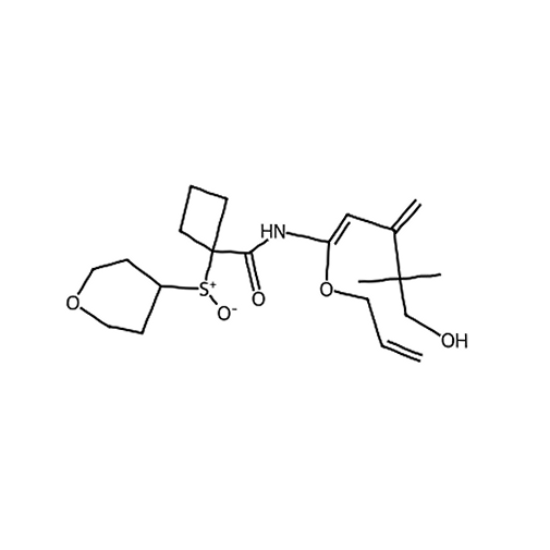 C=CCO/C(=C\C(=C)C(C)(C)CO)NC(=O)C1([S+]([O-])C2CCOCC2)CCC1